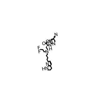 N#Cc1cnc(N[C@@H](CCN(CCCCc2ccc3c(n2)NCCC3)CCC(F)F)C(=O)O)nc1